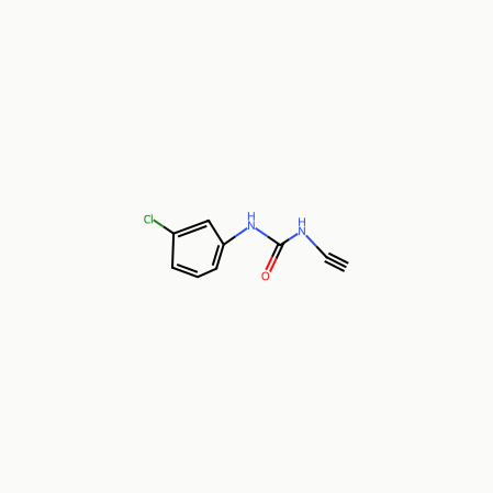 C#CNC(=O)Nc1cccc(Cl)c1